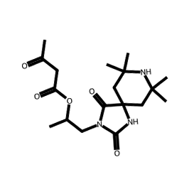 CC(=O)CC(=O)OC(C)CN1C(=O)NC2(CC(C)(C)NC(C)(C)C2)C1=O